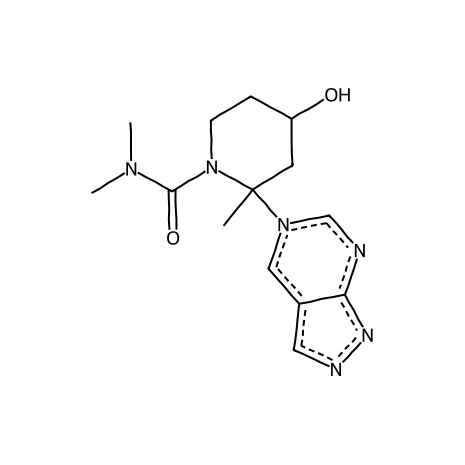 CN(C)C(=O)N1CCC(O)CC1(C)n1cnc2nncc-2c1